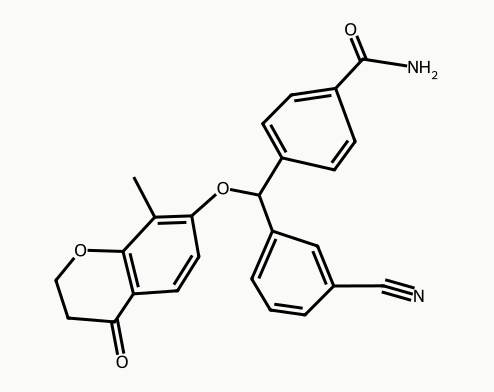 Cc1c(OC(c2ccc(C(N)=O)cc2)c2cccc(C#N)c2)ccc2c1OCCC2=O